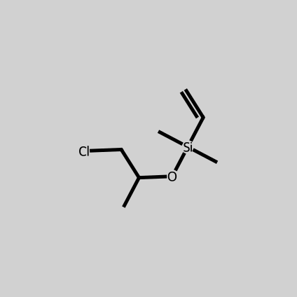 C=C[Si](C)(C)OC(C)CCl